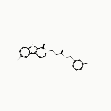 Cc1ccc2[nH]c3c(=O)n(CCC(=O)NCc4cccc(C(F)(F)F)c4)ccc3c2c1